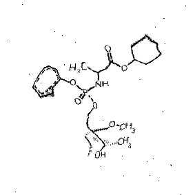 CO[C@](CF)(COP(=O)(NC(C)C(=O)OC1CCCCC1)Oc1ccccc1)[C@H](C)O